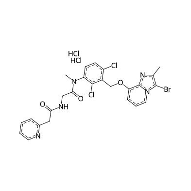 Cc1nc2c(OCc3c(Cl)ccc(N(C)C(=O)CNC(=O)Cc4ccccn4)c3Cl)cccn2c1Br.Cl.Cl